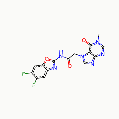 Cn1cnc2ncn(CC(=O)Nc3nc4cc(F)c(F)cc4o3)c2c1=O